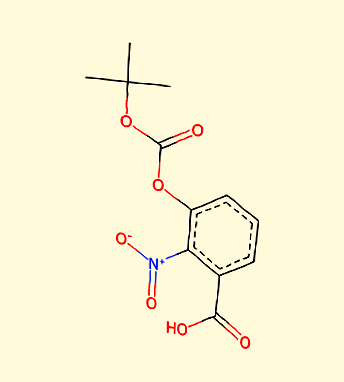 CC(C)(C)OC(=O)Oc1cccc(C(=O)O)c1[N+](=O)[O-]